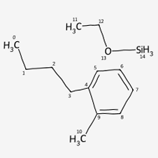 CCCCc1ccccc1C.CCO[SiH3]